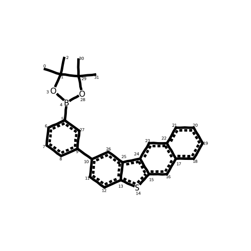 CC1(C)OB(c2cccc(-c3ccc4sc5cc6ccccc6cc5c4c3)c2)OC1(C)C